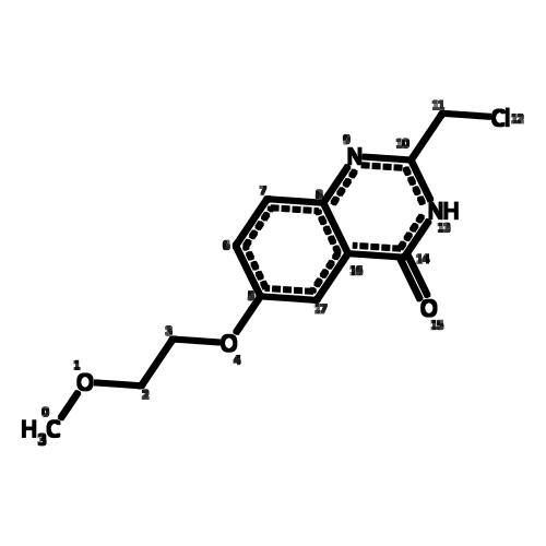 COCCOc1ccc2nc(CCl)[nH]c(=O)c2c1